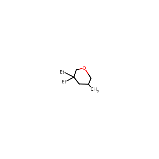 CCC1(CC)COCC(C)C1